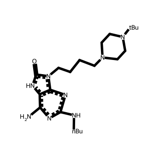 CCCCNc1nc(N)c2[nH]c(=O)n(CCCCN3CCN(C(C)(C)C)CC3)c2n1